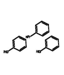 CCCc1ccccc1.Oc1ccccc1.Oc1ccccc1